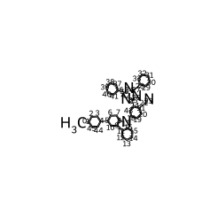 Cc1ccc(-c2ccc3c(c2)c2ccccc2n3-c2ccc(C#N)c(-c3nc(-c4ccccc4)nc(-c4ccccc4)n3)c2)cc1